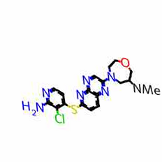 CNC1COCCN(c2cnc3nc(Sc4ccnc(N)c4Cl)ccc3n2)C1